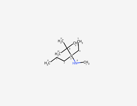 CCC[Si](CC)(NC)C(C)(C)C